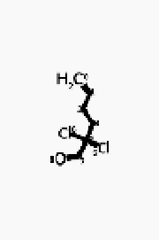 C=CCCC(Cl)(Cl)C[O]